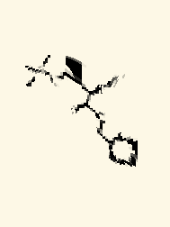 CC(O[Si](C)(C)C)C(=[N+]=[N-])C(=O)OCc1ccccc1